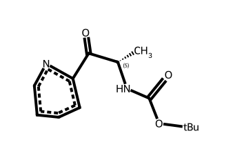 C[C@H](NC(=O)OC(C)(C)C)C(=O)c1ccccn1